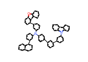 c1cc(-c2ccc(N(c3cccc(-c4cccc5ccccc45)c3)c3cccc(-c4cccc5oc6ccccc6c45)c3)cc2)cc(-c2cccc(-n3c4ccccc4c4ccccc43)c2)c1